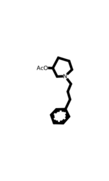 CC(=O)OC1CCCN(CCCc2ccccc2)C1